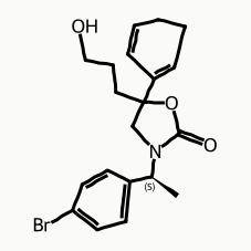 C[C@@H](c1ccc(Br)cc1)N1CC(CCCO)(C2=CCCC=C2)OC1=O